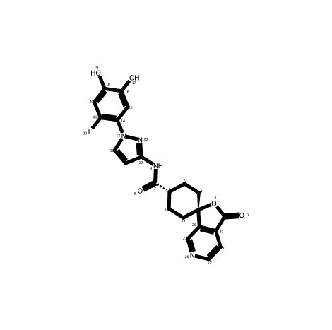 O=C1O[C@]2(CC[C@@H](C(=O)Nc3ccn(-c4cc(O)c(O)cc4F)n3)CC2)c2cnccc21